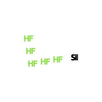 F.F.F.F.F.[Si]